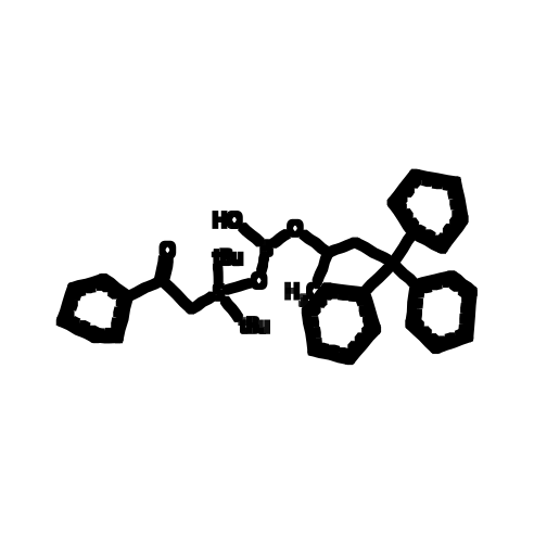 CC(CC(c1ccccc1)(c1ccccc1)c1ccccc1)OB(O)OS(CC(=O)c1ccccc1)(C(C)(C)C)C(C)(C)C